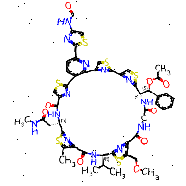 CNC(=O)C[C@@H]1NC(=O)c2csc(n2)-c2ccc(-c3nc(NC=O)cs3)nc2-c2csc(n2)-c2csc(n2)[C@H]([C@@H](OC(C)=O)c2ccccc2)NC(=O)CNC(=O)c2nc(sc2COC)[C@@H](C(C)C)NC(=O)c2nc1sc2C